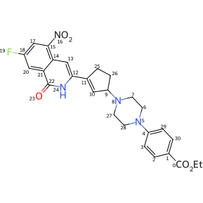 CCOC(=O)c1ccc(N2CCN(C3C=C(c4cc5c([N+](=O)[O-])cc(F)cc5c(=O)[nH]4)CC3)CC2)cc1